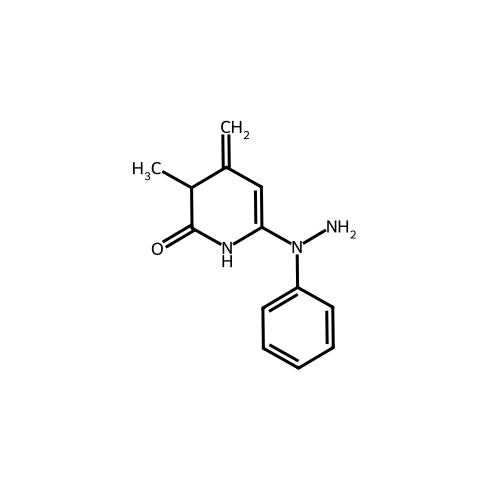 C=C1C=C(N(N)c2ccccc2)NC(=O)C1C